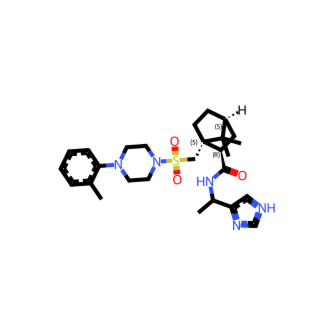 Cc1ccccc1N1CCN(S(=O)(=O)C[C@@]23CC[C@@H](C[C@H]2C(=O)NC(C)c2c[nH]cn2)C3(C)C)CC1